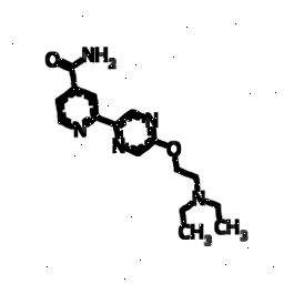 CCN(CC)CCOc1cnc(-c2cc(C(N)=O)ccn2)cn1